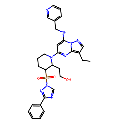 CCc1cnn2c(NCc3cccnc3)cc(N3CCCC(S(=O)(=O)n4cnc(-c5ccccc5)n4)C3CCO)nc12